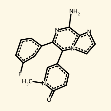 Cn1cc(-c2c(-c3cccc(F)c3)nc(N)c3nccn23)ccc1=O